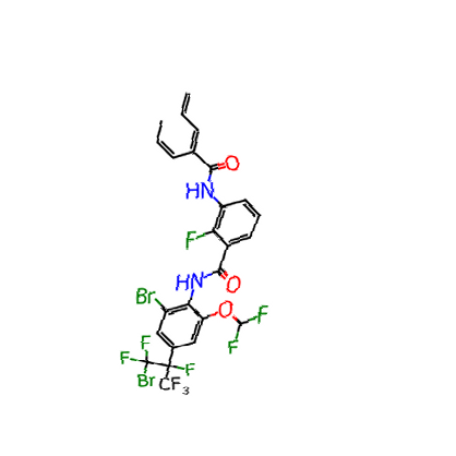 C=C/C=C(\C=C/C)C(=O)Nc1cccc(C(=O)Nc2c(Br)cc(C(F)(C(F)(F)F)C(F)(F)Br)cc2OC(F)F)c1F